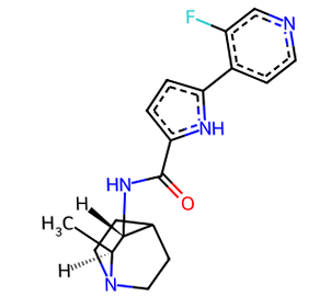 C[C@H]1[C@H](NC(=O)c2ccc(-c3ccncc3F)[nH]2)C2CCN1CC2